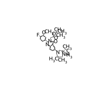 COc1cc(-c2nc3ccc(N4C[C@H](C(C)C)NCC(C)(C)C4)cc3c(=O)n2CC(=O)OC(C)(C)C)ccc1F